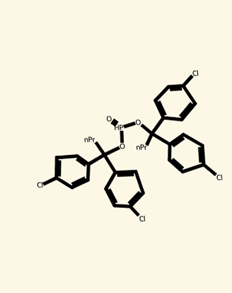 CCCC(O[PH](=O)OC(CCC)(c1ccc(Cl)cc1)c1ccc(Cl)cc1)(c1ccc(Cl)cc1)c1ccc(Cl)cc1